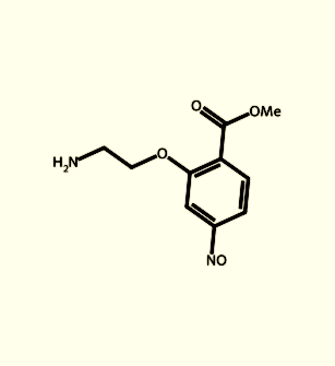 COC(=O)c1ccc(N=O)cc1OCCN